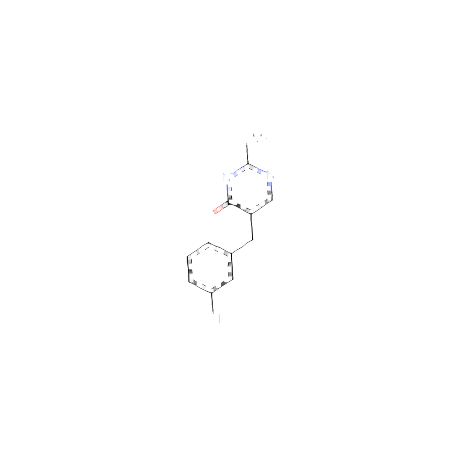 CSc1ncc(Cc2cccc(C(F)(F)F)c2)c(=O)[nH]1